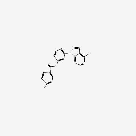 Nc1ncnc2c1cnn2-c1cccc(NC(=O)c2ccc(F)cc2)c1